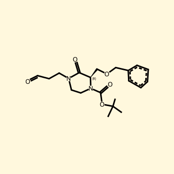 CC(C)(C)OC(=O)N1CCN(CCC=O)C(=O)[C@H]1COCc1ccccc1